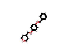 c1ccc(COc2ccc(OCC3CCOCC3)cc2)cc1